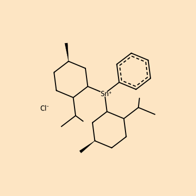 CC(C)C1CC[C@@H](C)C[CH]1[Sn+]([c]1ccccc1)[CH]1C[C@H](C)CCC1C(C)C.[Cl-]